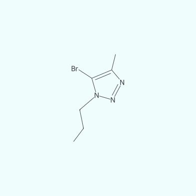 CCCn1nnc(C)c1Br